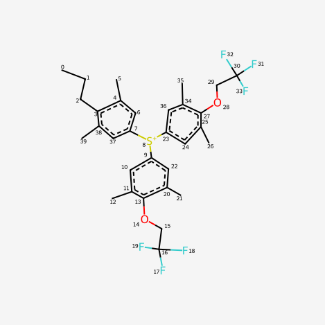 CCCc1c(C)cc([S+](c2cc(C)c(OCC(F)(F)F)c(C)c2)c2cc(C)c(OCC(F)(F)F)c(C)c2)cc1C